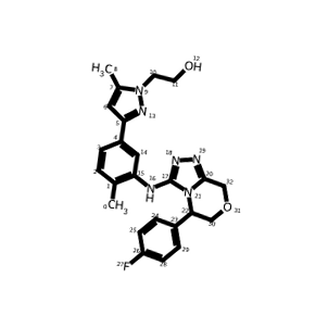 Cc1ccc(-c2cc(C)n(CCO)n2)cc1Nc1nnc2n1C(c1ccc(F)cc1)COC2